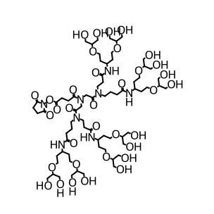 O=C(CCCN(CCC(=O)NC(CCOC(CO)CO)CCOC(CO)CO)C(=O)CN(CC(=O)N(CCCC(=O)NC(CCOC(CO)CO)CCOC(CO)CO)CCC(=O)NC(CCOC(CO)CO)CCOC(CO)CO)C(=O)CCC(=O)ON1C(=O)CCC1=O)NC(CCOC(CO)CO)CCOC(CO)CO